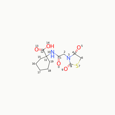 O=C(CN1C(=O)CSC1=O)NC1(C(=O)O)CCCCC1